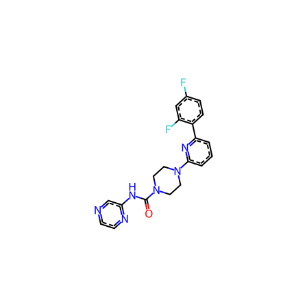 O=C(Nc1cnccn1)N1CCN(c2cccc(-c3ccc(F)cc3F)n2)CC1